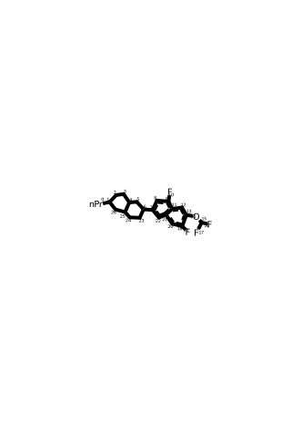 CCCC1CCC2CC(c3cc(F)c4cc(OC(F)F)c(F)cc4c3)CCC2C1